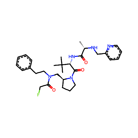 C[C@H](NCc1ccccn1)C(=O)N[C@H](C(=O)N1CCC[C@H]1CN(CCc1ccccc1)C(=O)CF)C(C)(C)C